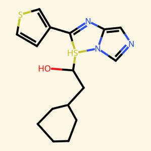 OC(CC1CCCCC1)[SH]1C(c2ccsc2)=Nc2cncn21